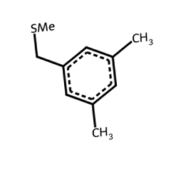 CSCc1cc(C)cc(C)c1